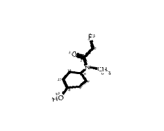 CN(C(=O)CF)C1CCC(O)CC1